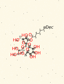 CCCCCCCCCCCCCCCC(=O)O[C@H]1[C@H](O)[C@@H](CO)O[C@@]1(COCC(O)CO)O[C@H]1O[C@H](CO)[C@@H](O)[C@H](O)[C@H]1O